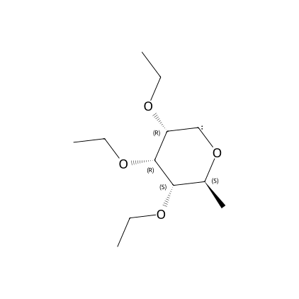 CCO[C@@H]1[C@H](OCC)[C@H](OCC)[C]O[C@H]1C